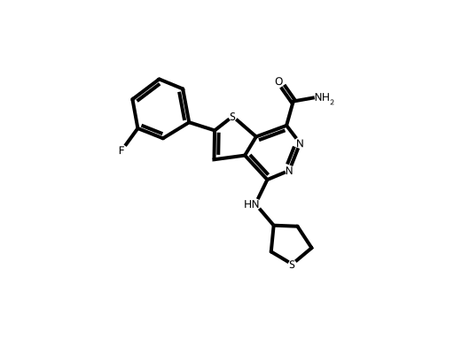 NC(=O)c1nnc(NC2CCSC2)c2cc(-c3cccc(F)c3)sc12